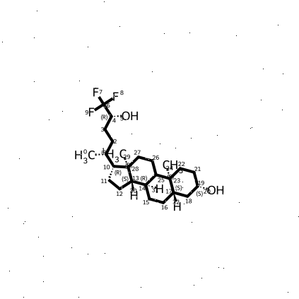 C[C@H](CC[C@@H](O)C(F)(F)F)[C@H]1CC[C@H]2[C@@H]3CC[C@H]4C[C@@H](O)CC[C@]4(C)C3CC[C@]12C